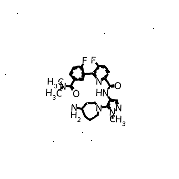 CN(C)C(=O)c1ccc(F)c(-c2nc(C(=O)Nc3cnn(C)c3N3CCCC(N)CC3)ccc2F)c1